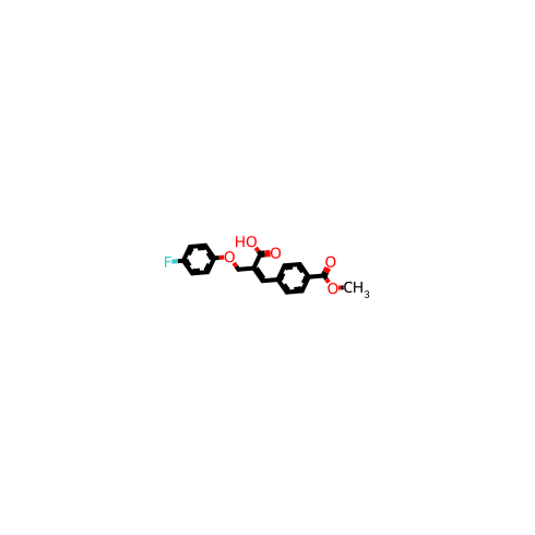 COC(=O)c1ccc(C=C(COc2ccc(F)cc2)C(=O)O)cc1